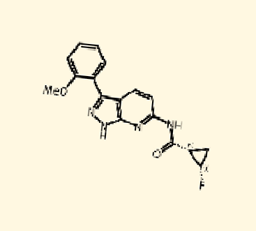 COc1ccccc1-c1n[nH]c2nc(NC(=O)[C@@H]3C[C@@H]3F)ccc12